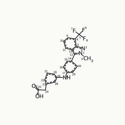 Cn1nc2c(C(F)(F)F)cccc2c1-c1ccc(Nc2cccc(CC(=O)O)c2)cc1